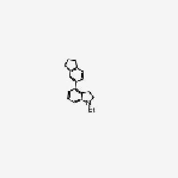 CCN1CCc2c(-c3ccc4c(c3)CCC4)cccc21